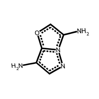 Nc1cnn2c(N)coc12